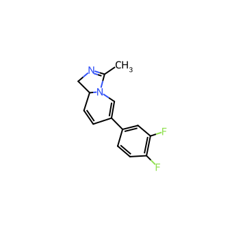 CC1=NCC2C=CC(c3ccc(F)c(F)c3)=CN12